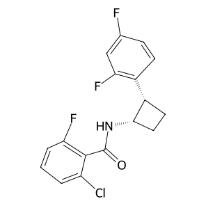 O=C(N[C@H]1CC[C@H]1c1ccc(F)cc1F)c1c(F)cccc1Cl